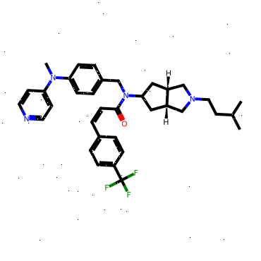 CC(C)CCN1C[C@H]2CC(N(Cc3ccc(N(C)c4ccncc4)cc3)C(=O)C=Cc3ccc(C(F)(F)F)cc3)C[C@H]2C1